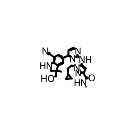 CNC(=O)c1cc(Nc2nccc(-c3cc(C#N)c4c(c3)C(C)(CO)CN4)n2)n(CCC2CC2)n1